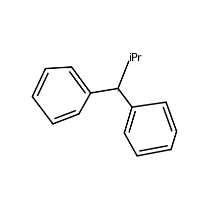 CC(C)[C](c1ccccc1)c1ccccc1